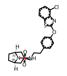 CS(=O)(=O)N1[C@@H]2CC[C@H]1CC(NCCc1ccc(Oc3nc4c(Cl)cccc4s3)cc1)C2